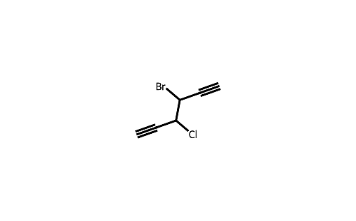 C#CC(Cl)C(Br)C#C